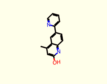 Cc1cc(O)nc2ccc(-c3ccccn3)cc12